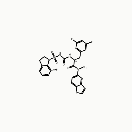 CN(C(=O)[C@H](Cc1cc(F)cc(F)c1)NC(=O)NS(=O)(=O)N1CCc2cccc(F)c21)c1ccc2sccc2c1